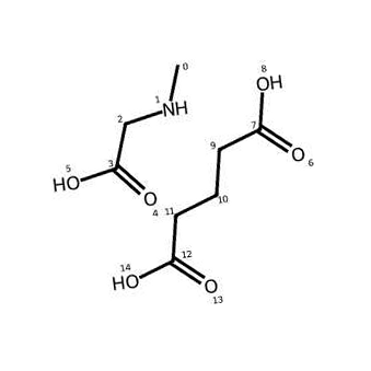 CNCC(=O)O.O=C(O)CCCC(=O)O